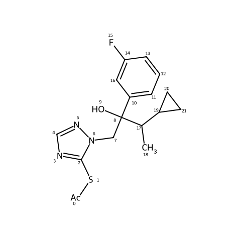 CC(=O)Sc1ncnn1CC(O)(c1cccc(F)c1)C(C)C1CC1